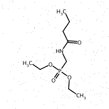 CCCC(=O)NCP(=O)(OCC)OCC